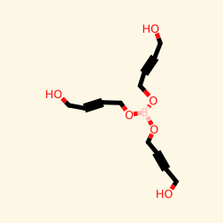 OCC#CCOB(OCC#CCO)OCC#CCO